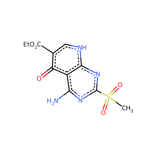 CCOC(=O)c1c[nH]c2nc(S(C)(=O)=O)nc(N)c2c1=O